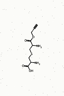 C#CCOC(=O)C(N)CSCC(N)C(=O)O